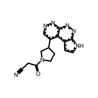 N#CCC(=O)N1CCC(c2cnnc3nnc4[nH]ccc4c23)C1